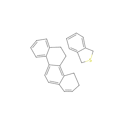 C1=Cc2ccc3c(c2CC1)CCc1ccccc1-3.c1ccc2c(c1)CSC2